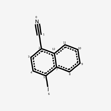 N#Cc1ccc(I)c2ccccc12